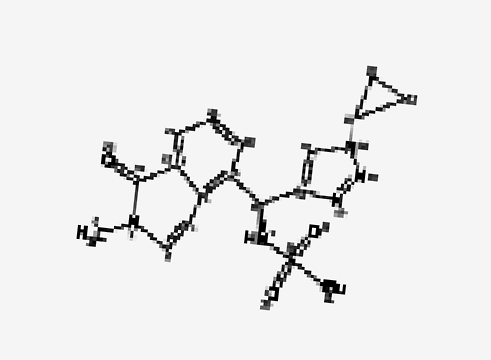 Cn1ccc2c([C@H](NS(=O)(=O)C(C)(C)C)c3cn(C4CC4)nn3)cccc2c1=O